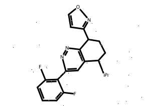 CC(C)C1CCC(c2ccon2)c2nnc(-c3c(F)cccc3F)cc21